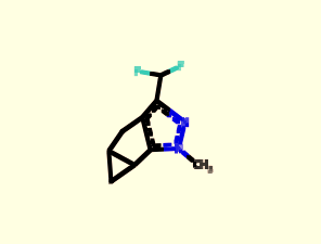 Cn1nc(C(F)F)c2c1C1CC1C2